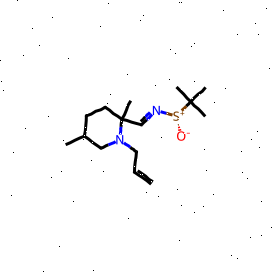 C=CCN1CC(C)CCC1(C)/C=N/[S@@+]([O-])C(C)(C)C